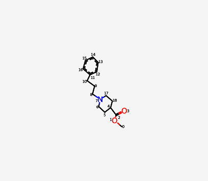 COC(=O)C1CCN(CCCc2ccccc2)CC1